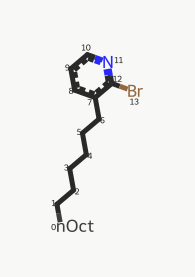 CCCCCCCCCCCCCCc1cccnc1Br